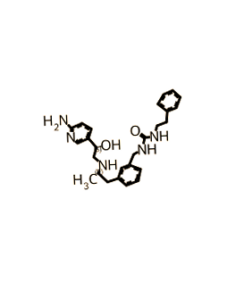 C[C@H](Cc1cccc(CNC(=O)NCCc2ccccc2)c1)NC[C@@H](O)c1ccc(N)nc1